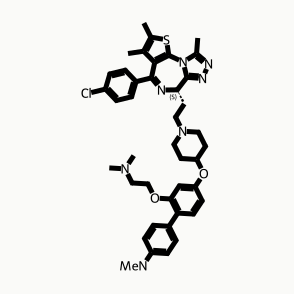 CNc1ccc(-c2ccc(OC3CCN(CC[C@@H]4N=C(c5ccc(Cl)cc5)c5c(sc(C)c5C)-n5c(C)nnc54)CC3)cc2OCCN(C)C)cc1